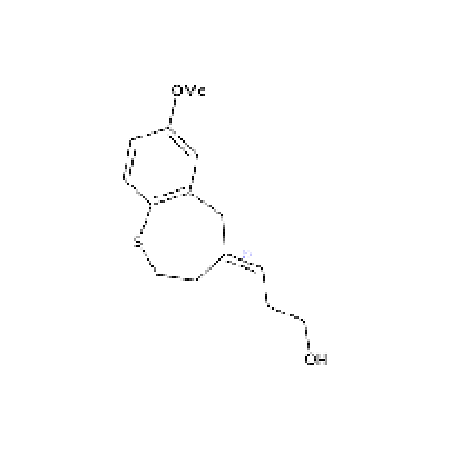 COc1ccc2c(c1)C/C(=C/CCO)CCS2